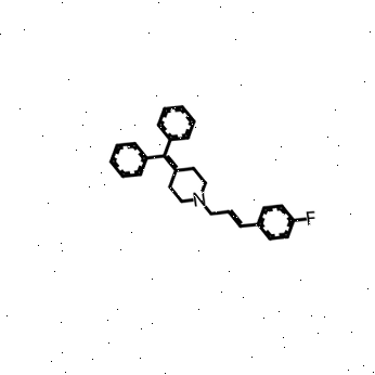 Fc1ccc(/C=C/CN2CCC(=C(c3ccccc3)c3ccccc3)CC2)cc1